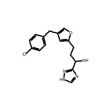 OC(CCc1cc(Cc2ccc(Cl)cc2)co1)c1nc[nH]n1